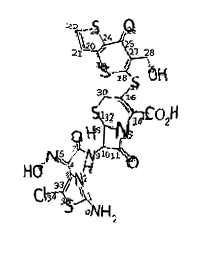 Nc1nc(/C(=N\O)C(=O)NC2C(=O)N3C(C(=O)O)=C(Sc4sc5ccsc5c(=O)c4CO)CS[C@H]23)c(Cl)s1